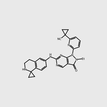 CCn1c(=O)c2cnc(Nc3ccc4c(c3)CCNC43CC3)nc2n1-c1cccc(C2(C#N)CC2)n1